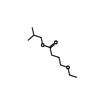 CCOCCCC(=O)OCC(C)C